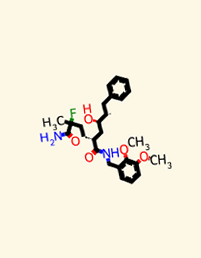 COc1cccc(CNC(=O)[C@H](CCC(C)(F)C(N)=O)C[C@@H](O)[CH]Cc2ccccc2)c1OC